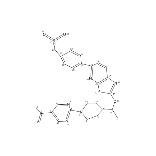 C=C(C)c1cnc(N2CCC(C(C)Oc3nc4ccc(-c5ccc(C[SH](=O)=O)cc5)nc4s3)CC2)nc1